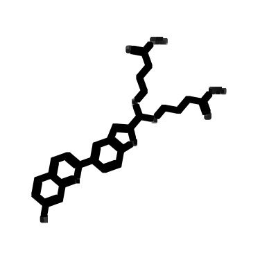 COC(=O)CCCSC(SCCCC(=O)OC)c1cc2cc(-c3ccc4ccc(Cl)cc4n3)ccc2o1